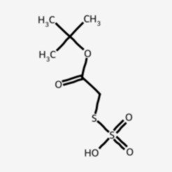 CC(C)(C)OC(=O)CSS(=O)(=O)O